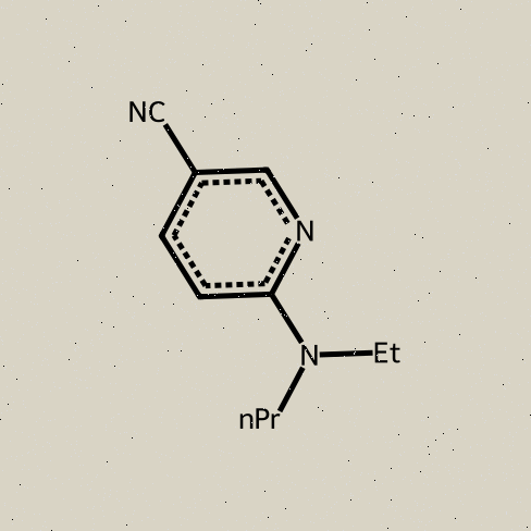 CCCN(CC)c1ccc(C#N)cn1